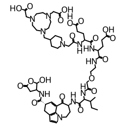 CCC(C)C(NC(=O)COCCNC(=O)C(CCC(=O)O)NC(=O)C(CCC(=O)O)NC(=O)CN1CCC(CN2CCN(CC(=O)O)CCN(CC(=O)O)CC2)CC1)C(=O)N[C@H]1CCn2ccc3c2C(=C[C@@H](C(=O)NC2CC(=O)OC2O)C3)C1=O